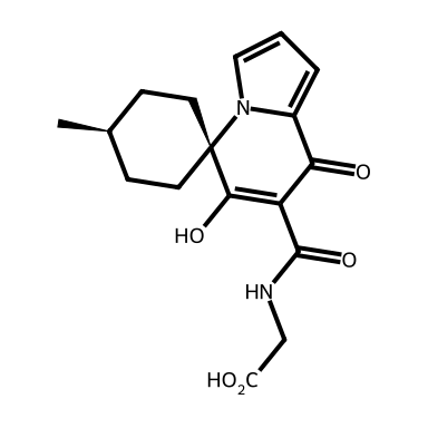 C[C@H]1CC[C@]2(CC1)C(O)=C(C(=O)NCC(=O)O)C(=O)c1cccn12